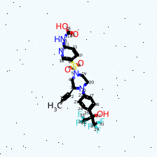 CC#C[C@H]1CN(S(=O)(=O)c2ccc(NC(=O)O)nc2)CCN1c1ccc(C(O)(C(F)(F)F)C(F)(F)F)cc1